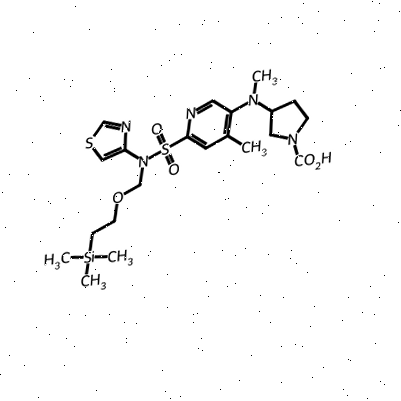 Cc1cc(S(=O)(=O)N(COCC[Si](C)(C)C)c2cscn2)ncc1N(C)C1CCN(C(=O)O)C1